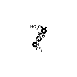 Cc1ccc(S(=O)(=O)N2CCN(c3cccc(C(F)(F)F)n3)CC2)cc1CC(=O)O